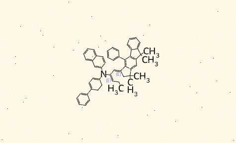 CC/C=C(\C=C1/CC(C)(C)c2cc3c(c(-c4ccccc4)c21)-c1ccccc1C3(C)C)N(C1=CC=C(c2ccccc2)CC1)c1ccc2ccccc2c1